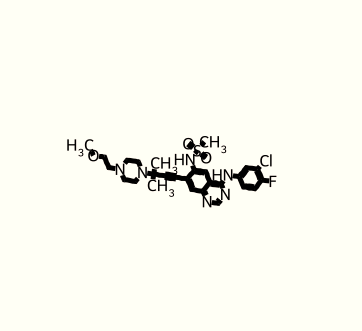 COCCN1CCN(C(C)(C)C#Cc2cc3ncnc(Nc4ccc(F)c(Cl)c4)c3cc2NS(C)(=O)=O)CC1